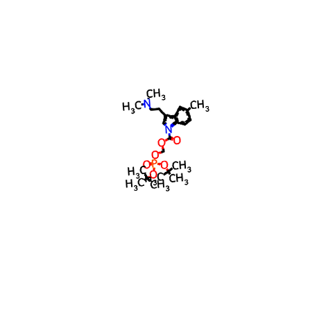 Cc1ccc2c(c1)c(CCN(C)C)cn2C(=O)OCOP(=O)(OC(C)(C)C)OC(C)(C)C